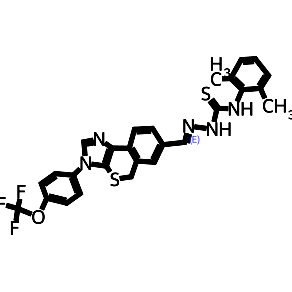 Cc1cccc(C)c1NC(=S)N/N=C/c1ccc2c(c1)CSc1c-2ncn1-c1ccc(OC(F)(F)F)cc1